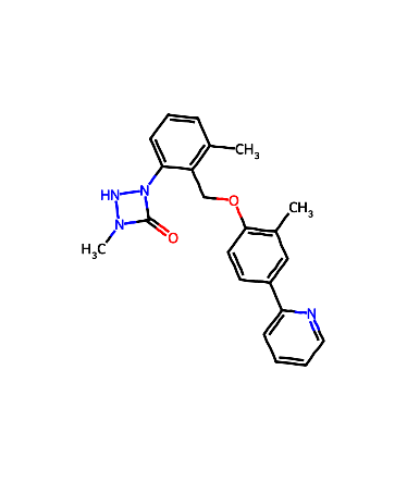 Cc1cc(-c2ccccn2)ccc1OCc1c(C)cccc1-n1[nH]n(C)c1=O